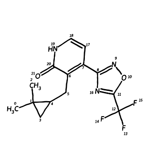 CC1(C)CC1Cc1c(-c2noc(C(F)(F)F)n2)cc[nH]c1=O